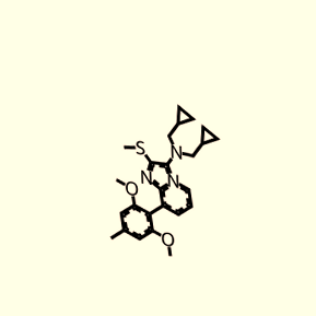 COc1cc(C)cc(OC)c1-c1cccn2c(N(CC3CC3)CC3CC3)c(SC)nc12